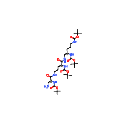 CC(C)(C)OC(=O)NCCC[C@@H](CNC(=O)[C@H](CCCNC(=O)[C@H](CN)NC(=O)OC(C)(C)C)NC(=O)OC(C)(C)C)NC(=O)OC(C)(C)C